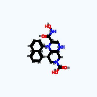 O=C(NO)C1=CNC2=C(CCN(C(=O)O)C2)N1c1cccc2ccccc12